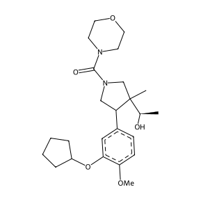 COc1ccc(C2CN(C(=O)N3CCOCC3)CC2(C)[C@@H](C)O)cc1OC1CCCC1